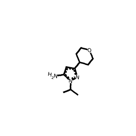 CC(C)n1nc(C2CCOCC2)cc1N